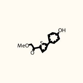 COCC(=O)c1ccc(-c2ccc(O)cc2)s1